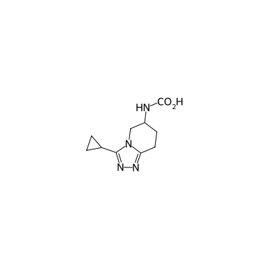 O=C(O)NC1CCc2nnc(C3CC3)n2C1